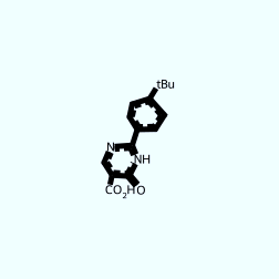 CC(C)(C)c1ccc(-c2ncc(C(=O)O)c(=O)[nH]2)cc1